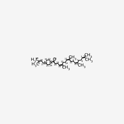 CC(C)=CCCC(C)=CCCC(C)=CCCC(C)=CCCC(=O)N1CCN(CCC(C)C)CC1